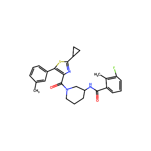 Cc1cccc(-c2sc(C3CC3)nc2C(=O)N2CCCC(NC(=O)c3cccc(F)c3C)C2)c1